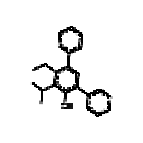 CCc1c(-c2ccccc2)cc(-c2ccccc2)c(O)c1C(C)C